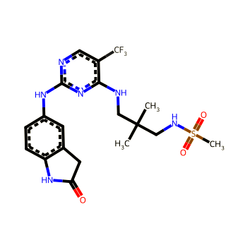 CC(C)(CNc1nc(Nc2ccc3c(c2)CC(=O)N3)ncc1C(F)(F)F)CNS(C)(=O)=O